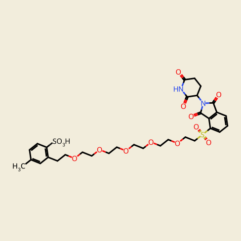 Cc1ccc(S(=O)(=O)O)c(CCOCCOCCOCCOCCOCCS(=O)(=O)c2cccc3c2C(=O)N(C2CCC(=O)NC2=O)C3=O)c1